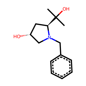 CC(C)(O)[C@@H]1C[C@@H](O)CN1Cc1ccccc1